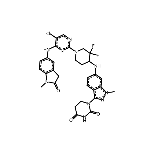 CN1C(=O)Cc2cc(Nc3nc(N4CCC(Nc5ccc6c(N7CCC(=O)NC7=O)nn(C)c6c5)C(F)(F)C4)ncc3Cl)ccc21